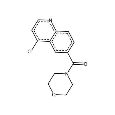 O=C(c1ccc2nccc(Cl)c2c1)N1CCOCC1